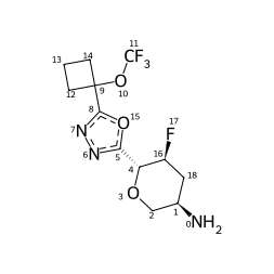 N[C@H]1CO[C@H](c2nnc(C3(OC(F)(F)F)CCC3)o2)[C@@H](F)C1